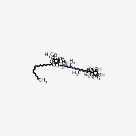 CCCCC/C=C\C/C=C\CCCCCCCC(=O)OC1(C)CC(OC(C)=O)CC(C)(C)C1=C=C/C(C)=C/C=C/C(C)=C/C=C/C=C(C)/C=C/C=C(\C)C(=O)CC1(O)C(C)(C)CC(O)CC1(C)O